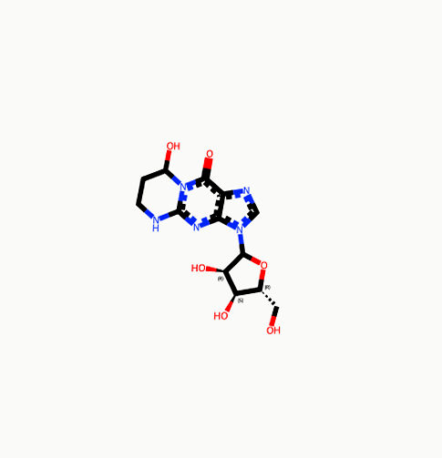 O=c1c2ncn(C3O[C@H](CO)[C@@H](O)[C@H]3O)c2nc2n1C(O)CCN2